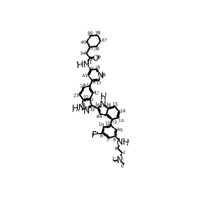 CN(C)CCNc1cc(F)cc(-c2cccc3[nH]c(-c4n[nH]c5ccc(-c6cncc(NC(=O)CC7CCCCC7)c6)cc45)cc23)c1